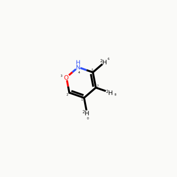 [2H]C1=CONC([2H])=C1[2H]